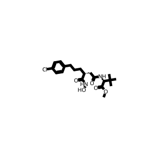 COC(=O)[C@@H](NC(=O)C[C@@H](CCCc1ccc(Cl)cc1)C(=O)NO)C(C)(C)C